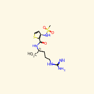 CS(=O)(=O)Nc1ccsc1C(=O)N[C@@H](CCCNC(=N)N)C(=O)O